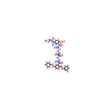 BC(=O)Nc1ccc(O)c(C(=O)NCCOC(=O)NCCNC(=O)c2cc(OCc3ccccc3)ccc2OCc2ccccc2)c1